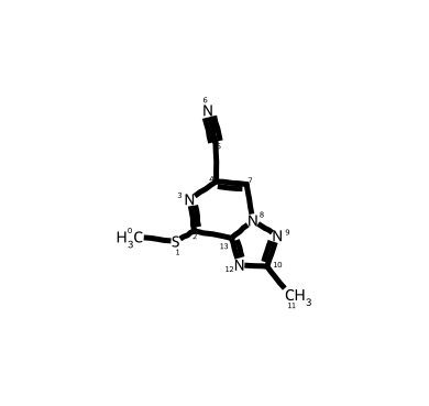 CSc1nc(C#N)cn2nc(C)nc12